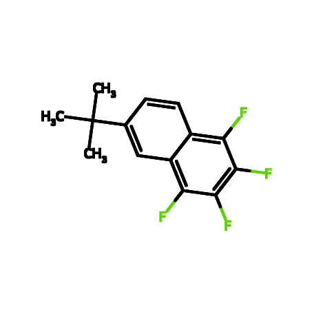 CC(C)(C)c1ccc2c(F)c(F)c(F)c(F)c2c1